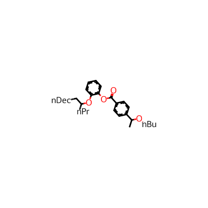 CCCCCCCCCCCC(CCC)Oc1ccccc1OC(=O)c1ccc(C(C)OCCCC)cc1